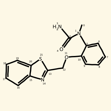 CN(C(N)=O)c1ccccc1OCc1nc2ccccc2s1